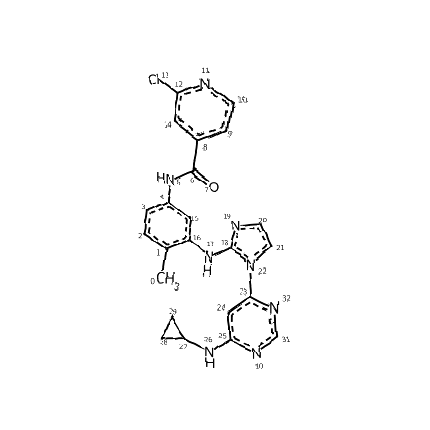 Cc1ccc(NC(=O)c2ccnc(Cl)c2)cc1Nc1nccn1-c1cc(NC2CC2)ncn1